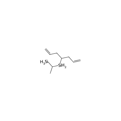 C=CCC(CC=C)[SiH2]C(C)[SiH3]